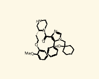 COc1ccccc1OCC[C@@H]1CNCCN1C(=O)c1ncn(CC2(O)CCCCC2)c1-c1ccccc1